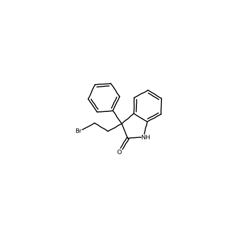 O=C1Nc2ccccc2C1(CCBr)c1ccccc1